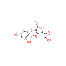 CC1(c2ccc(O)cc2O)OC2=C(O1)C(C(O)CO)OC2=O